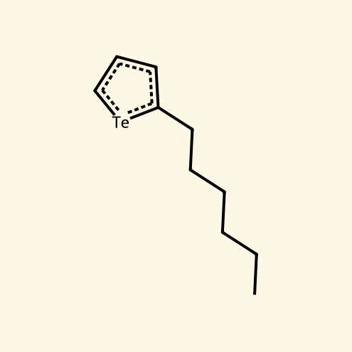 CCCCCCc1ccc[te]1